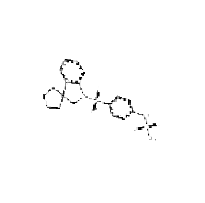 CS(=O)(=O)Nc1ccc(S(=O)(=O)N2CC3(CCCC3)c3ccccc32)cc1